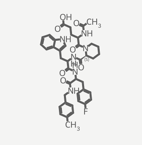 CC(=O)NC(CCC(=O)O)C(=O)N1CCCC[C@H]1C(=O)NC(Cc1c[nH]c2ccccc12)C(=O)NC(Cc1ccc(F)cc1)C(=O)NCc1ccc(C)cc1